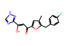 Cc1cc(C(=O)/C=C(\O)c2nc[nH]n2)oc1Cc1ccc(F)cc1